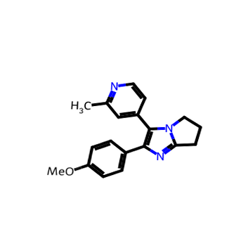 COc1ccc(-c2nc3n(c2-c2ccnc(C)c2)CCC3)cc1